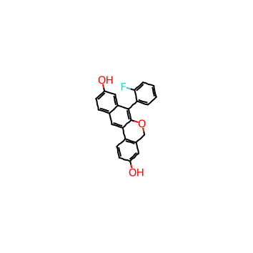 Oc1ccc2c(c1)COc1c-2cc2ccc(O)cc2c1-c1ccccc1F